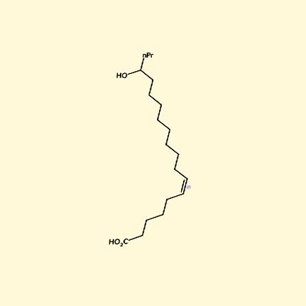 CCCC(O)CCCCCCCC/C=C\CCCCC(=O)O